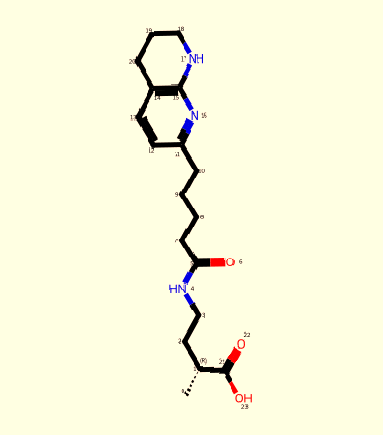 C[C@H](CCNC(=O)CCCCc1ccc2c(n1)NCCC2)C(=O)O